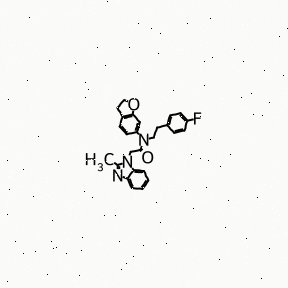 Cc1nc2ccccc2n1CC(=O)N(CCc1ccc(F)cc1)c1ccc2c(c1)OCC2